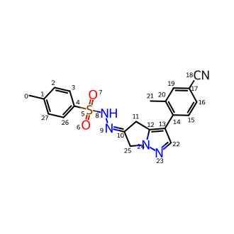 Cc1ccc(S(=O)(=O)N/N=C2\Cc3c(-c4ccc(C#N)cc4C)cnn3C2)cc1